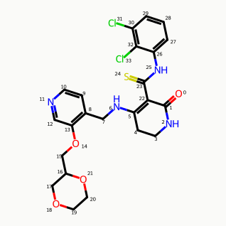 O=C1NCCC(NCc2ccncc2OCC2COCCO2)=C1C(=S)Nc1cccc(Cl)c1Cl